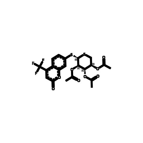 CC(=O)O[C@@H]1[C@@H](OC(C)=O)[C@H](Sc2ccc3c(C(F)(F)F)cc(=O)oc3c2)SC[C@H]1OC(C)=O